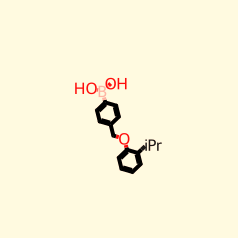 CC(C)c1ccccc1OCc1ccc(B(O)O)cc1